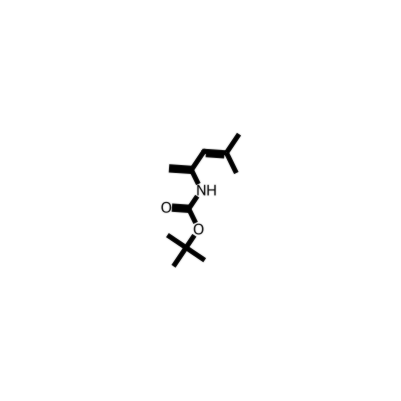 C=C(C=C(C)C)NC(=O)OC(C)(C)C